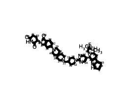 C[C@@H]1Cc2c([nH]c3ccccc23)[C@@H](c2cnc(N3CCC(CN4CCC5(CC4)CCN(c4ccc6c(c4)CN([C@H]4CCC(=O)NC4=O)C6=O)CC5)CC3)nc2)N1CC(C)(C)F